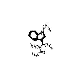 CC(=O)N(O)C(C)c1cn(C)c2ccccc12